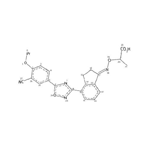 CC(C)Oc1ccc(-c2nc(-c3cccc4c3CCC4=NOC(C)C(=O)O)no2)cc1C#N